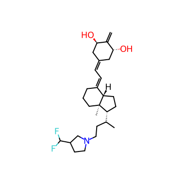 C=C1[C@H](O)CC(=CC=C2CCC[C@]3(C)[C@@H](C(C)CCN4CCC(C(F)F)C4)CC[C@@H]23)C[C@H]1O